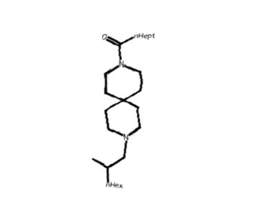 CCCCCCCC(=O)N1CCC2(CCN(CC(C)CCCCCC)CC2)CC1